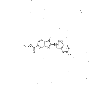 CCOC(=O)c1ccc2c(c1)nc(NCc1nc(C)ccc1O)n2C